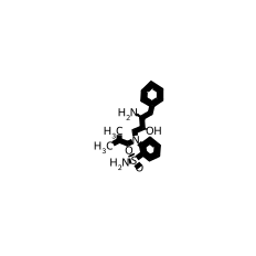 CC(C)CN(C[C@@H](O)[C@@H](N)Cc1ccccc1)c1ccccc1S(N)(=O)=O